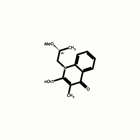 CCCCCCCCc1c(C)c(=O)c2ccccc2n1C[C@@H](C)OC